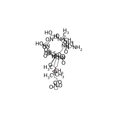 CCC(C)[C@@H]1NC(=O)[C@@H]2C[C@@H](O)CN2C(=O)C(CC(=O)O)NC(=O)[C@@H]2CSc3[nH]c4ccc(cc4c3C[C@@H](C(=O)NCC(N)=O)NC1=O)NC(=O)CC(CCSSC(C)(C)CCC(=O)ON1C(=O)CCC1=O)[C@@H]([C@@H](C)CC)C(=O)NCC(=O)N2